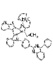 C=Cc1c(/C=C\C)n(-c2ccccc2)c2c3sc4ncccc4c3c3c4ccccc4n(-c4ccc(-c5nc(-c6ccccc6)c6ccccc6n5)cc4)c3c12